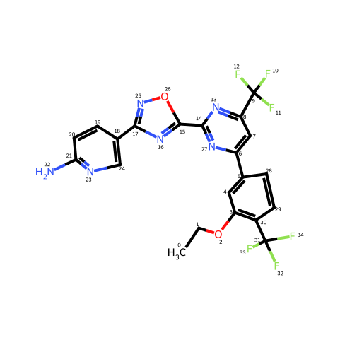 CCOc1cc(-c2cc(C(F)(F)F)nc(-c3nc(-c4ccc(N)nc4)no3)n2)ccc1C(F)(F)F